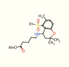 CCS(=O)(=O)c1c(C)ccc2c1C(NCCCCC(=O)OC)CC(C)(C)O2